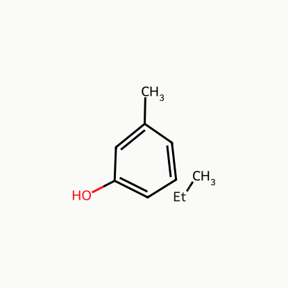 CCC.Cc1cccc(O)c1